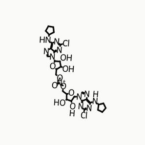 O=[N+](OCC1OC(n2cnc3c(NC4CCCC4)nc(Cl)nc32)C(O)C1O)OCC1OC(n2cnc3c(NC4CCCC4)nc(Cl)nc32)C(O)C1O